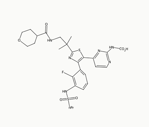 CCCS(=O)(=O)Nc1cccc(-c2nc(C(C)(C)CNC(=O)C3CCOCC3)sc2-c2ccnc(NC(=O)O)n2)c1F